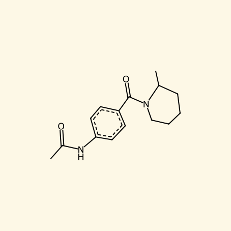 CC(=O)Nc1ccc(C(=O)N2CCCCC2C)cc1